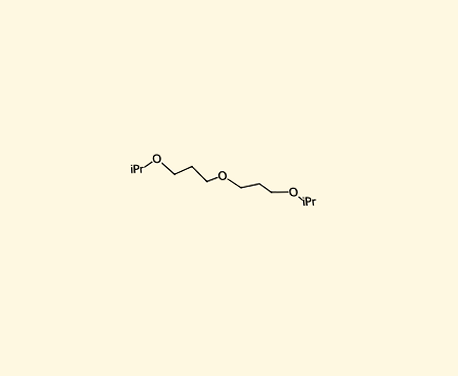 CC(C)OCCCOCCCOC(C)C